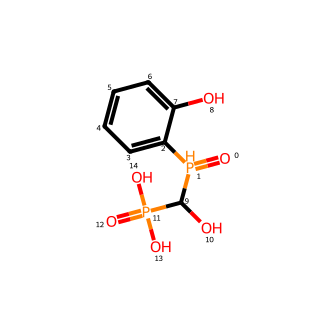 O=[PH](c1ccccc1O)C(O)P(=O)(O)O